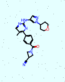 Cc1cnc(Nc2cnn(C3CCOCC3)c2)nc1-c1ccc(C(=O)N2CC(C#N)C2)cc1